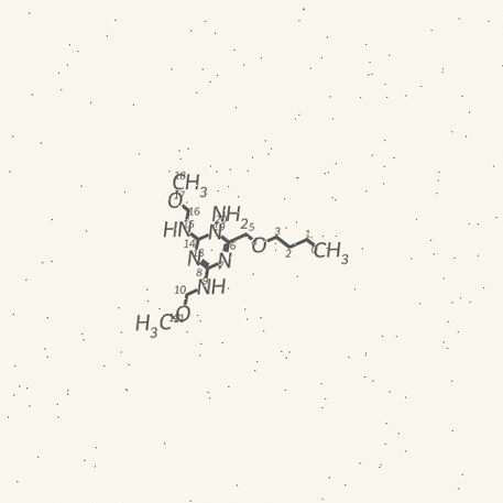 CCCCOCC1=NC(NCOC)=NC(NCOC)N1N